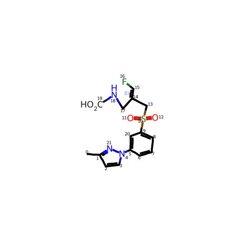 Cc1ccn(-c2cccc(S(=O)(=O)C/C(=C/F)CNC(=O)O)c2)n1